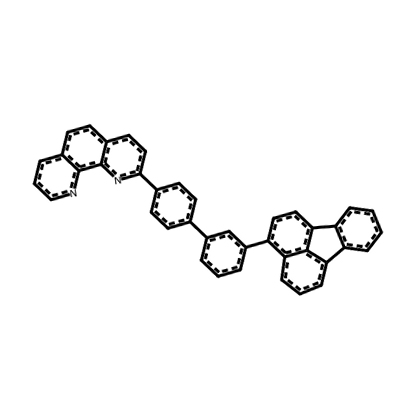 c1cc(-c2ccc(-c3ccc4ccc5cccnc5c4n3)cc2)cc(-c2ccc3c4c(cccc24)-c2ccccc2-3)c1